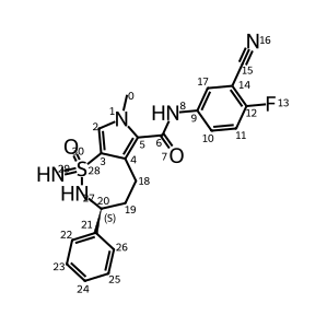 Cn1cc2c(c1C(=O)Nc1ccc(F)c(C#N)c1)CC[C@@H](c1ccccc1)NS2(=N)=O